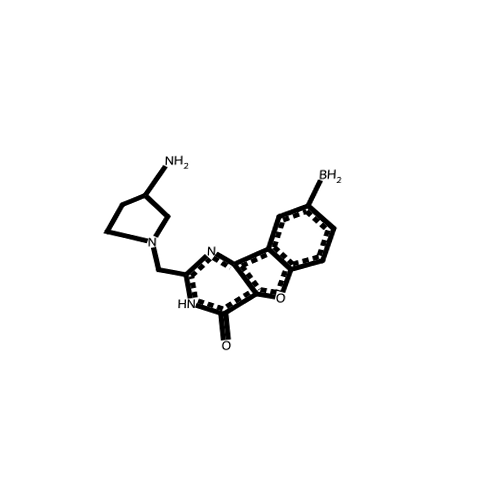 Bc1ccc2oc3c(=O)[nH]c(CN4CCC(N)C4)nc3c2c1